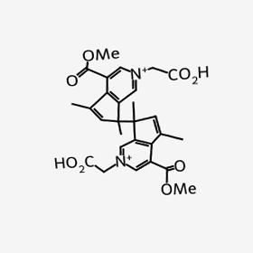 COC(=O)c1c[n+](CC(=O)O)cc2c1C(C)=CC2(C)C1(C)C=C(C)c2c(C(=O)OC)c[n+](CC(=O)O)cc21